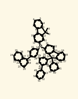 CC1(C)c2ccccc2-c2ccc(N(c3ccc(-c4cccc5ccccc45)cc3)c3ccc4c(c3)C(c3ccccc3)(c3cccc(-c5ccccc5)c3)c3ccccc3-4)cc21